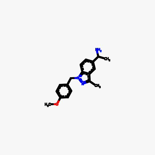 COc1ccc(Cn2nc(C)c3cc(C(C)N)ccc32)cc1